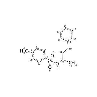 Cc1ccc(S(=O)(=O)OC(C)CCc2ccccc2)cc1